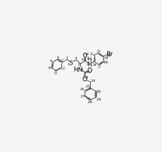 O=C(NC(CSCc1ccccc1)C(=O)Nc1ccc(Br)cc1)OCc1ccccc1